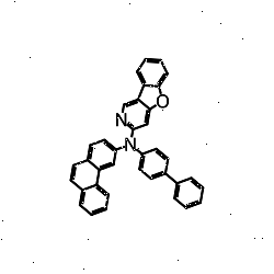 c1ccc(-c2ccc(N(c3ccc4ccc5ccccc5c4c3)c3cc4oc5ccccc5c4cn3)cc2)cc1